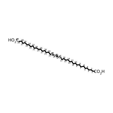 O=C(O)CCCCCCCCCCCCCCCCCSSSSSCCCCCCCCCCCCCCCCCC(=O)O